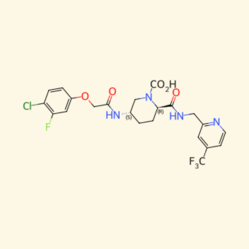 O=C(COc1ccc(Cl)c(F)c1)N[C@H]1CC[C@H](C(=O)NCc2cc(C(F)(F)F)ccn2)N(C(=O)O)C1